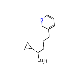 O=C(O)[C@H](CCCc1cccnc1)C1CC1